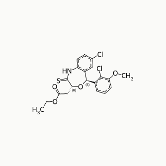 CCOC(=O)C[C@H]1O[C@H](c2cccc(OC)c2Cl)c2cc(Cl)ccc2NC1=S